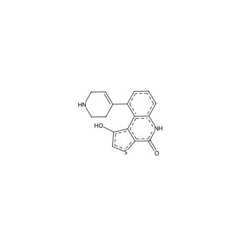 O=c1[nH]c2cccc(C3=CCNCC3)c2c2c(O)csc12